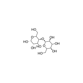 OCC1O[C@@H](O[C@@H]2C(CO)O[C@@H](O)[C@@H](O)C2O)[C@@H](O)C(O)[C@H]1O